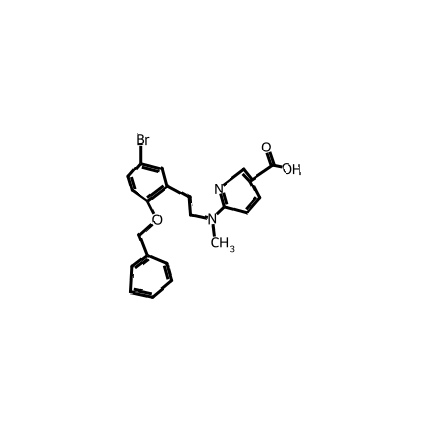 CN(CCc1cc(Br)ccc1OCc1ccccc1)c1ccc(C(=O)O)cn1